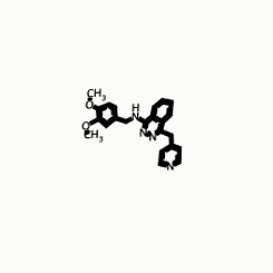 COc1ccc(CNc2nnc(Cc3ccncc3)c3ccccc23)cc1OC